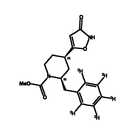 [2H]c1c([2H])c([2H])c(C[C@@H]2C[C@H](c3cc(=O)[nH]o3)CCN2C(=O)OC)c([2H])c1[2H]